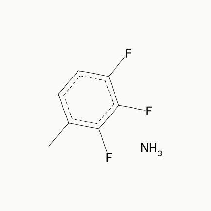 Cc1ccc(F)c(F)c1F.N